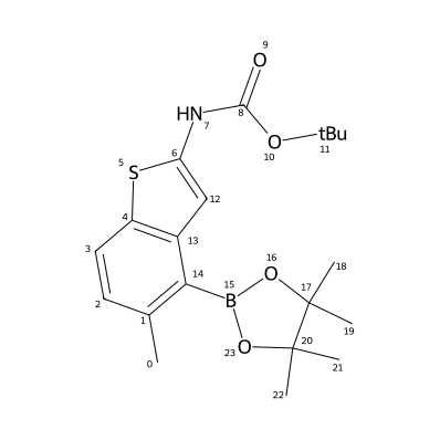 Cc1ccc2sc(NC(=O)OC(C)(C)C)cc2c1B1OC(C)(C)C(C)(C)O1